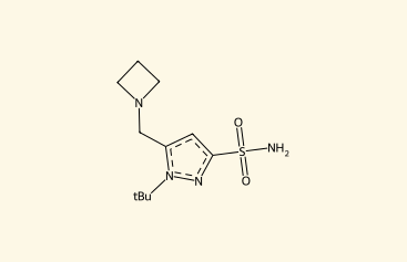 CC(C)(C)n1nc(S(N)(=O)=O)cc1CN1CCC1